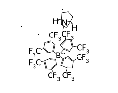 CN1[C@@H]2CCC[C@H]1CC2.FC(F)(F)c1cc([B-](c2cc(C(F)(F)F)cc(C(F)(F)F)c2)(c2cc(C(F)(F)F)cc(C(F)(F)F)c2)c2cc(C(F)(F)F)cc(C(F)(F)F)c2)cc(C(F)(F)F)c1